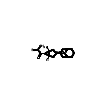 CCOC(=O)N1C2CCCC1CC(N1C[C@@H]3[C@H](C1)[C@@H]3C(=O)N(C)CC)C2